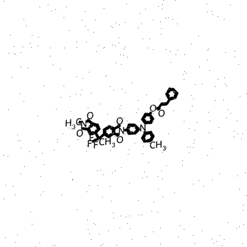 Cc1ccc(N(c2ccc(OC(=O)/C=C/c3ccccc3)cc2)c2ccc(N3C(=O)c4ccc(C(C)(c5ccc6c(c5)C(=O)N(C)C6=O)C(F)(F)F)cc4C3=O)cc2)cc1